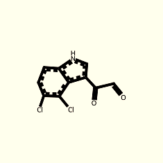 O=CC(=O)c1c[nH]c2ccc(Cl)c(Cl)c12